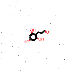 O=CCCc1c(O)cc(O)cc1O